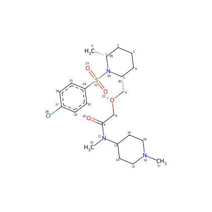 C[C@@H]1CCC[C@H](COCC(=O)N(C)C2CCN(C)CC2)N1S(=O)(=O)c1ccc(Cl)cc1